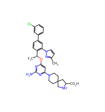 Cc1ccn(-c2cc(-c3cccc(Cl)c3)ccc2[C@@H](Oc2cc(N3CCC4(CC3)CNC(C(=O)O)C4)nc(N)n2)C(F)(F)F)n1